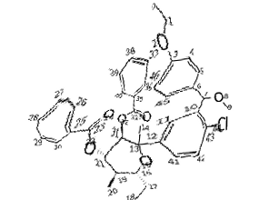 CCOc1ccc(C(OC)c2cc(C3(C)O[C@H](CC)[C@@H](C)[C@H](OC(=O)c4ccccc4)[C@H]3OC(=O)c3ccccc3)ccc2Cl)cc1